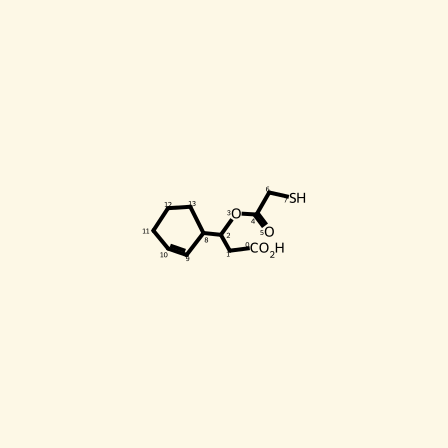 O=C(O)CC(OC(=O)CS)C1C=CCCC1